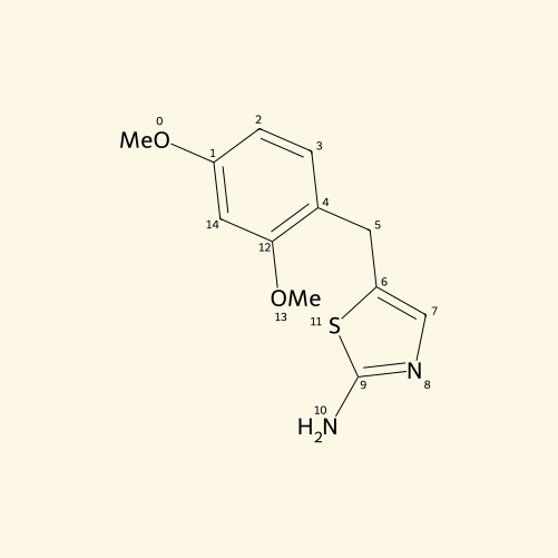 COc1ccc(Cc2cnc(N)s2)c(OC)c1